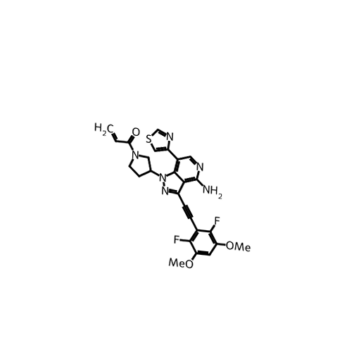 C=CC(=O)N1CCC(n2nc(C#Cc3c(F)c(OC)cc(OC)c3F)c3c(N)ncc(-c4cscn4)c32)C1